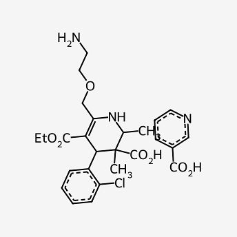 CCOC(=O)C1=C(COCCN)NC(C)C(C)(C(=O)O)C1c1ccccc1Cl.O=C(O)c1cccnc1